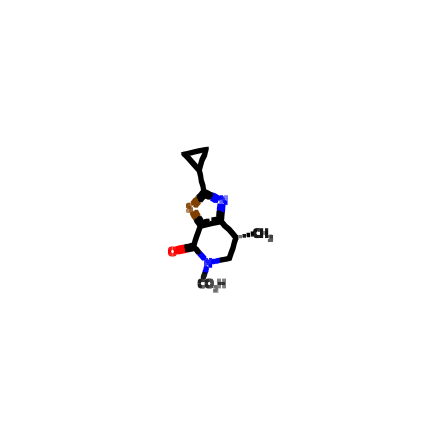 C[C@@H]1CN(C(=O)O)C(=O)c2sc(C3CC3)nc21